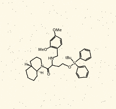 COc1ccc(CNC(CCO[Si](c2ccccc2)(c2ccccc2)C(C)(C)C)C(=O)N2CCC[C@H]3CCCC[C@@H]32)c(OC)c1